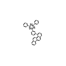 c1ccc(-c2nc(-c3ccccc3)nc(-c3cccc(-c4cccc5ccc6c7ccccc7ccc6c45)c3)n2)cc1